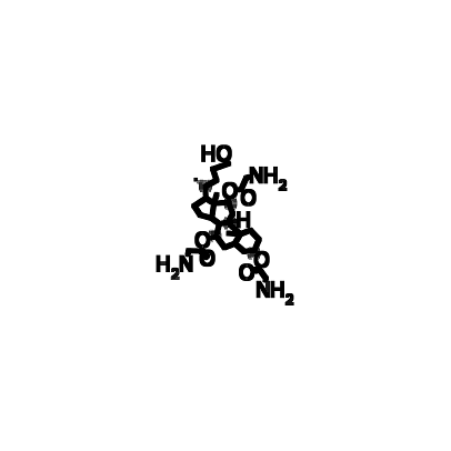 C[C@H](CCCO)C1CCC2C3[C@H](OC(=O)CN)CC4C[C@H](OC(=O)CN)CCC4(C)[C@H]3C[C@H](OC(=O)CN)C21C